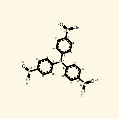 O=P(=O)c1ccc(P(c2ccc(P(=O)=O)cc2)c2ccc(P(=O)=O)cc2)cc1